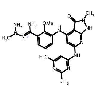 COc1c(Nc2cc(Nc3cc(C)nc(C)n3)nc3[nH]n(C)c(=O)c23)cccc1/C(N)=N/N(C)N